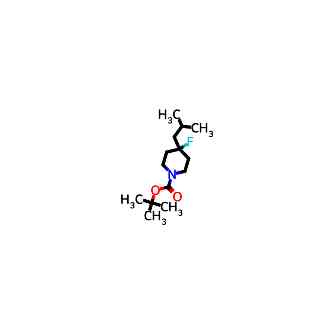 CC(C)CC1(F)CCN(C(=O)OC(C)(C)C)CC1